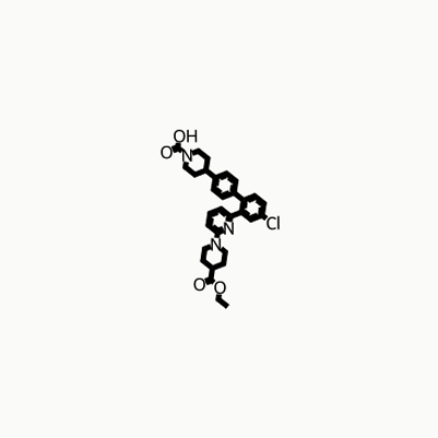 CCOC(=O)C1CCN(c2cccc(-c3cc(Cl)ccc3-c3ccc(C4CCN(C(=O)O)CC4)cc3)n2)CC1